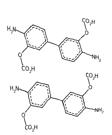 Nc1ccc(-c2ccc(N)c(OC(=O)O)c2)cc1OC(=O)O.Nc1ccc(-c2ccc(N)c(OC(=O)O)c2)cc1OC(=O)O